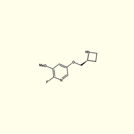 COc1cc(OC[C@@H]2CCN2)cnc1F